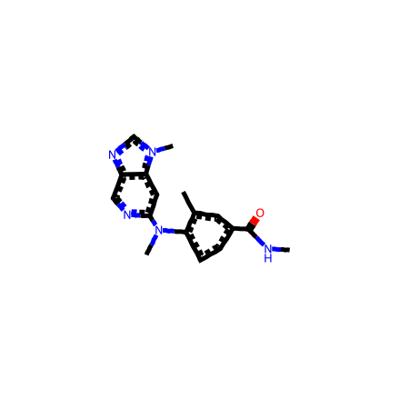 CNC(=O)c1ccc(N(C)c2cc3c(cn2)ncn3C)c(C)c1